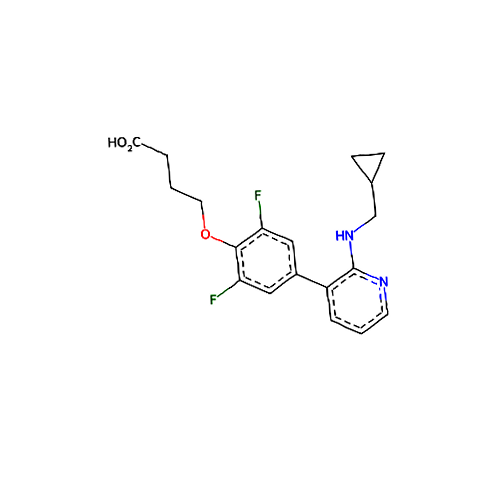 O=C(O)CCCOc1c(F)cc(-c2cccnc2NCC2CC2)cc1F